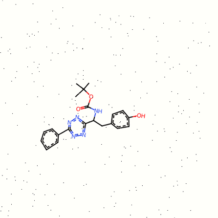 CC(C)(C)OC(=O)NC(Cc1ccc(O)cc1)c1nnc(-c2ccccc2)nn1